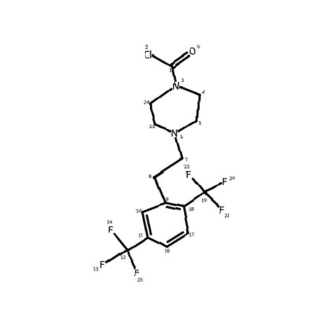 O=C(Cl)N1CCN(CCc2cc(C(F)(F)F)ccc2C(F)(F)F)CC1